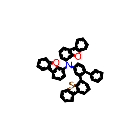 c1ccc(-c2ccc(N(c3cccc4c3oc3ccccc34)c3cccc4c3oc3ccccc34)cc2-c2cccc3c2sc2ccccc23)cc1